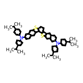 CC(C)c1ccc(N(c2ccc(C(C)C)cc2)c2ccc3cc4c(cc3c2)sc2c4ccc3sc4cc5cc(N(c6ccc(C(C)C)cc6)c6ccc(C(C)C)cc6)ccc5cc4c32)cc1